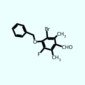 Cc1c(F)c(OCc2ccccc2)c(Br)c(C)c1C=O